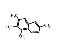 Cc1ccc2c(C)c(C)c(C)cc2c1